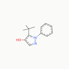 CC(C)(C)c1c(O)cnn1-c1ccccc1